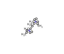 Cc1ccc2c(N(c3ccc(-c4ccc(-c5ccc(N(c6cccc7ccccc67)c6cccc7cc(C)ccc67)c(C)c5)c(C)c4)cc3C)c3cccc4ccccc34)cccc2c1